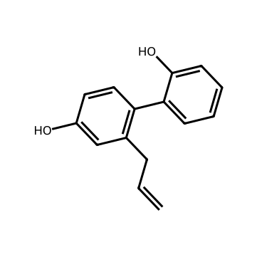 C=CCc1cc(O)ccc1-c1ccccc1O